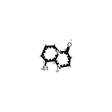 CCc1cccn2c(=O)ccnc12